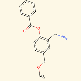 NCc1cc(CO[N+](=O)[O-])ccc1OC(=O)c1ccccc1